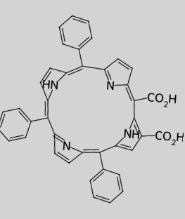 O=C(O)c1cc2[nH]c1c(C(=O)O)c1nc(c(-c3ccccc3)c3ccc([nH]3)c(-c3ccccc3)c3nc(c2-c2ccccc2)C=C3)C=C1